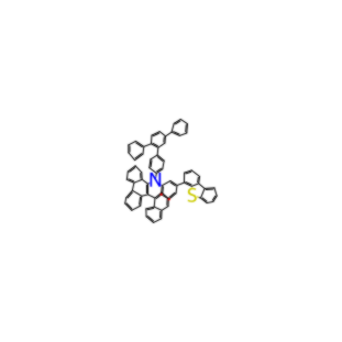 c1ccc(-c2ccc(-c3ccccc3)c(-c3ccc(N(c4cccc(-c5cccc6c5sc5ccccc56)c4)c4c(-c5cccc6ccccc56)c5ccccc5c5ccccc45)cc3)c2)cc1